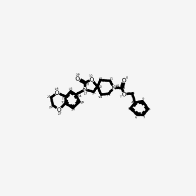 O=C(OCc1ccccc1)N1CCC2(CC1)CN(c1ccc3c(c1)OCCO3)C(=O)O2